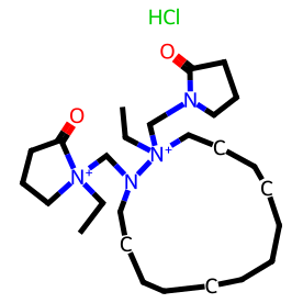 CC[N+]1(CN2CCCCCCCCCCCC[N+]2(CC)CN2CCCC2=O)CCCC1=O.Cl